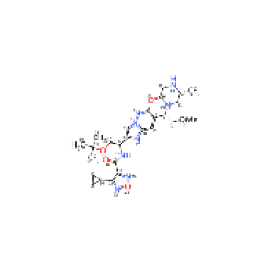 COC[C@H](c1cnn2cc([C@H](COC(C)(C)C(F)(F)F)NC(=O)c3nonc3C3CC3)nc2c1)N1C[C@@H](C(F)(F)F)NCC1=O